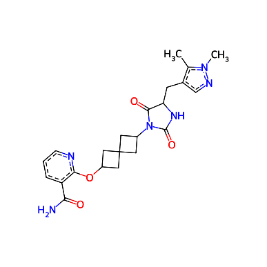 Cc1c(CC2NC(=O)N(C3CC4(CC(Oc5ncccc5C(N)=O)C4)C3)C2=O)cnn1C